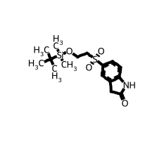 CC(C)(C)[Si](C)(C)OCCS(=O)(=O)c1ccc2c(c1)CC(=O)N2